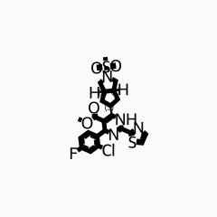 COC(=O)C1=C([C@H]2C[C@@H]3CN(S(C)(=O)=O)C[C@@H]3C2)NC(c2nccs2)=NC1c1ccc(F)cc1Cl